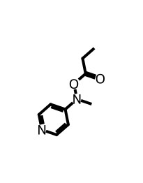 CCC(=O)ON(C)c1ccncc1